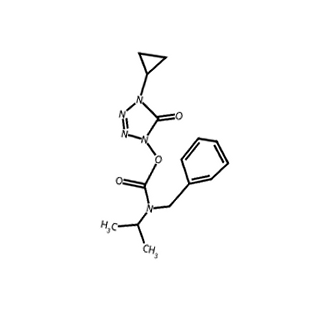 CC(C)N(Cc1ccccc1)C(=O)On1nnn(C2CC2)c1=O